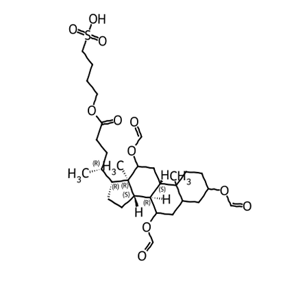 C[C@H](CCC(=O)OCCCCS(=O)(=O)O)[C@H]1CC[C@H]2[C@@H]3C(OC=O)CC4CC(OC=O)CCC4(C)[C@H]3CC(OC=O)[C@]12C